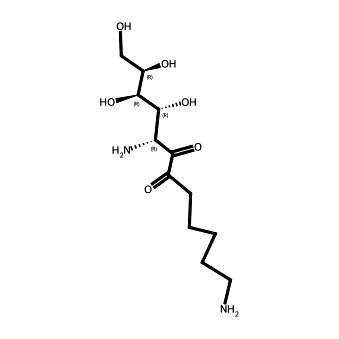 NCCCCCC(=O)C(=O)[C@H](N)[C@@H](O)[C@@H](O)[C@H](O)CO